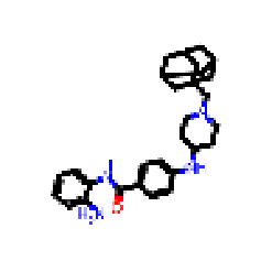 Nc1ccccc1NC(=O)c1ccc(NC2CCN(CC34CC5CC(CC(C5)C3)C4)CC2)cc1